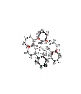 c1ccc(-c2ccncc2)c(C(=C(c2ccccc2-c2ccncc2)c2ccccc2-c2ccncc2)c2ccccc2-c2ccncc2)c1